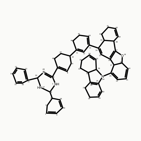 C1=CCC(C2NC(C3=CCC(C4=CC(C5=CC6=C(OC7C=CC=C(N8C9=C(CCC=C9)C9CCC=CC98)C67)C6C=CCCC56)=CCC4)CC3)=NC(c3ccccc3)N2)C=C1